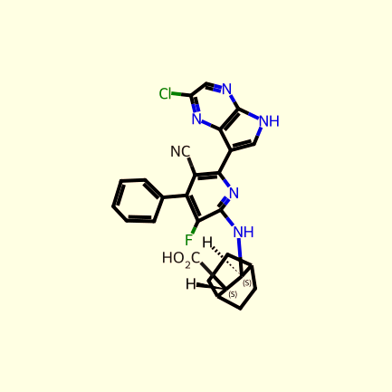 N#Cc1c(-c2c[nH]c3ncc(Cl)nc23)nc(N[C@H]2C3CCC(CC3)[C@@H]2C(=O)O)c(F)c1-c1ccccc1